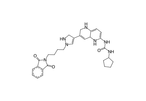 O=C(NC1=CC=C2NCC(C3=CN(CCCCN4C(=O)c5ccccc5C4=O)NC3)=CC2N1)NC1CCCC1